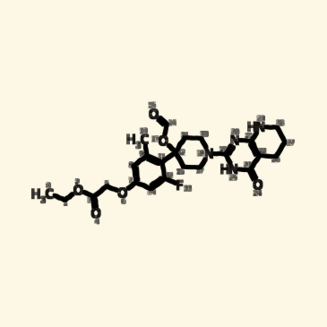 CCOC(=O)COc1cc(C)c(C2(OC=O)CCN(c3nc4c(c(=O)[nH]3)CCCN4)CC2)c(F)c1